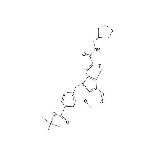 COc1cc(C(=O)OC(C)(C)C)ccc1Cn1cc(C=O)c2ccc(C(=O)NCC3CCCC3)cc21